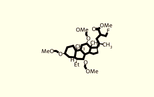 CC[C@H]1[C@@H](OCOC)C2C3CC[C@H]([C@H](C)CC(CF)C(=O)OC)[C@@]3(C)[C@@H](OCOC)CC2[C@@]2(C)CC[C@@H](OCOC)C[C@@H]12